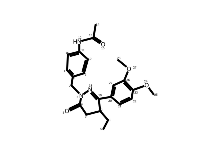 CCC1CC(=O)N(Cc2ccc(NC(C)=O)cc2)N=C1c1ccc(OC)c(OC)c1